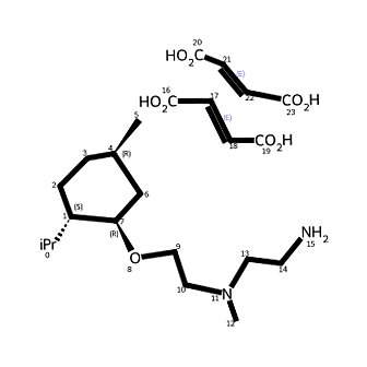 CC(C)[C@@H]1CC[C@@H](C)C[C@H]1OCCN(C)CCN.O=C(O)/C=C/C(=O)O.O=C(O)/C=C/C(=O)O